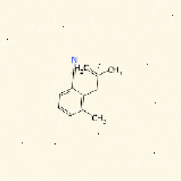 C=C(C)Cc1c(C)cccc1C#N